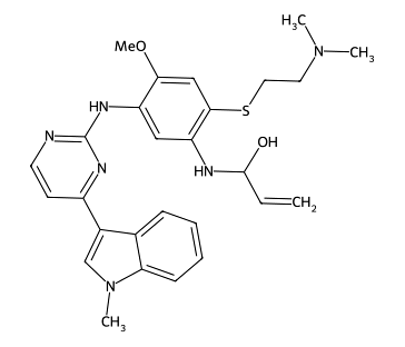 C=CC(O)Nc1cc(Nc2nccc(-c3cn(C)c4ccccc34)n2)c(OC)cc1SCCN(C)C